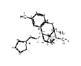 C[C@H]1[C@H]2Cc3ccc(O)cc3[C@]1(CCN1CCCC1)CCN2C